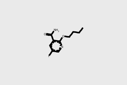 CCCCOc1ncc(I)cc1C(N)=O